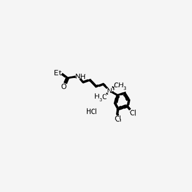 CCC(=O)NCCCC[N+](C)(C)c1ccc(Cl)c(Cl)c1.Cl